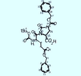 CC(C)(C)OC(=O)NC(CCC(=O)OCc1ccccc1)C(=O)N1C(=O)N(C(=O)OCc2ccccc2)CC1C(=O)O